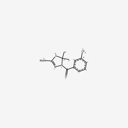 CNC1=NN(C(=O)c2cccc(C(F)(F)F)c2)C(C)(C)S1